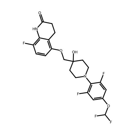 O=C1CCc2c(OCC3(O)CCN(c4c(F)cc(OC(F)F)cc4F)CC3)ccc(F)c2N1